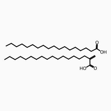 C=C(CCCCCCCCCCCCCCCC)C(=O)O.CCCCCCCCCCCCCCCCCC(=O)O